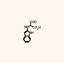 O=C[C@H](Nc1cc2ccccc2[nH]1)C(=O)O